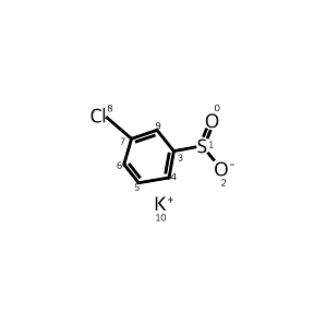 O=S([O-])c1cccc(Cl)c1.[K+]